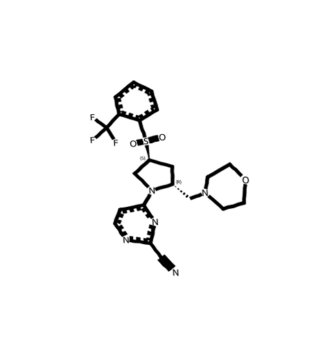 N#Cc1nccc(N2C[C@@H](S(=O)(=O)c3ccccc3C(F)(F)F)C[C@@H]2CN2CCOCC2)n1